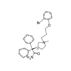 C[N+]1(CCCOc2ccccc2Br)CC[C@@H](C(C(N)=O)(c2ccccc2)c2ccccc2)C1